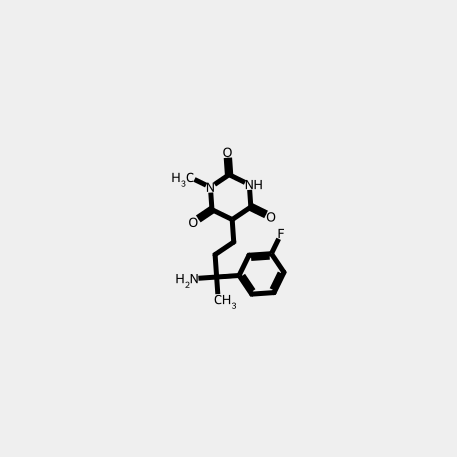 CN1C(=O)NC(=O)C(CCC(C)(N)c2cccc(F)c2)C1=O